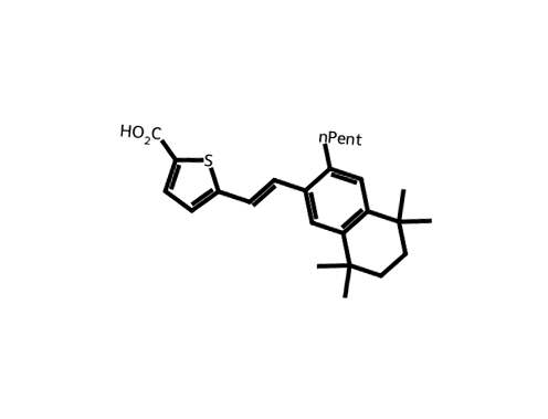 CCCCCc1cc2c(cc1C=Cc1ccc(C(=O)O)s1)C(C)(C)CCC2(C)C